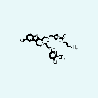 NCCNC(=O)N1CC(CNCC2c3[nH]c4ccc(Cl)cc4c3CCN2CCNc2ccc(Cl)c(C(F)(F)F)n2)C1